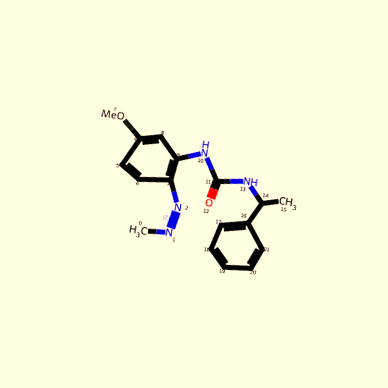 C/N=N\c1ccc(OC)cc1NC(=O)NC(C)c1ccccc1